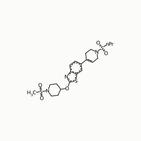 CCCS(=O)(=O)N1CC=C(c2ccc3nc(OC4CCN(S(C)(=O)=O)CC4)sc3c2)CC1